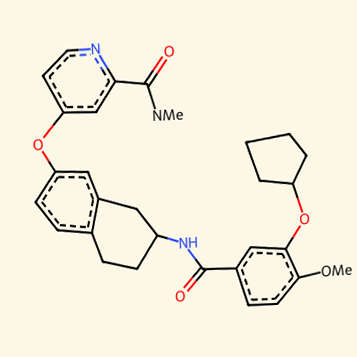 CNC(=O)c1cc(Oc2ccc3c(c2)CC(NC(=O)c2ccc(OC)c(OC4CCCC4)c2)CC3)ccn1